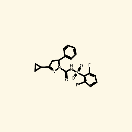 O=C(NS(=O)(=O)c1c(F)cccc1F)N1N=C(C2CC2)CC1c1ccccc1